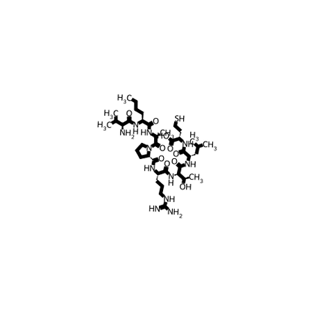 CCCC[C@H](NC(=O)[C@@H](N)C(C)C)C(=O)N[C@@H](C)C(=O)N1CCC[C@H]1C(=O)N[C@@H](CCCNC(=N)N)C(=O)N[C@H](C(=O)N[C@@H](CC(C)C)C(=O)N[C@@H](CCS)C(=O)O)[C@@H](C)O